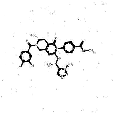 CNC(=O)c1ccc(-n2c(N[C@H](C)c3cnnn3C)nc3c(c2=O)C[C@@H](C)N(C(=O)c2ccc(Cl)c(Cl)c2)C3)cc1